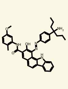 CCCC(N)(CCC)c1ccc(N=Nc2c(O)c(C(=O)Nc3cc(OC)ccc3C)cc3ccc4c5ccccc5[nH]c4c23)cc1